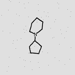 [CH]1CCC(N2CCCCC2)C1